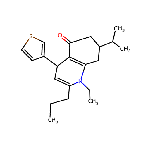 CCCC1=CC(c2ccsc2)C2=C(CC(C(C)C)CC2=O)N1CC